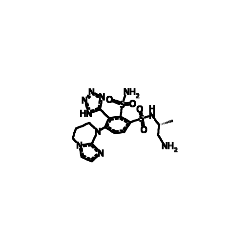 C[C@H](CN)NS(=O)(=O)c1ccc(N2CCCn3ccnc32)c(-c2nnn[nH]2)c1S(N)(=O)=O